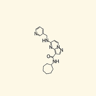 O=C(NC1CCCCCC1)c1cnn2ccc(NCc3cccnc3)nc12